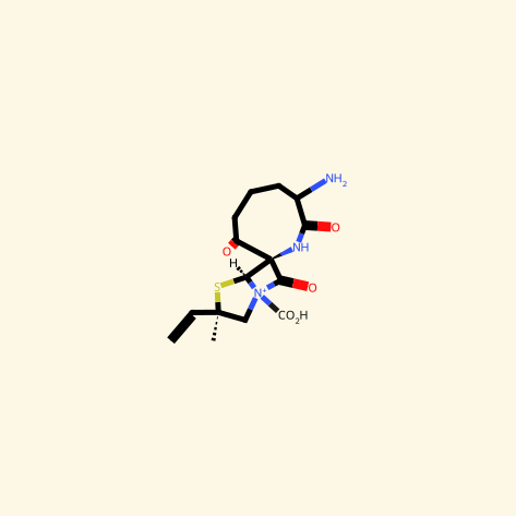 C=C[C@]1(C)C[N+]2(C(=O)O)C(=O)[C@]3(NC(=O)C(N)CCCC3=O)[C@@H]2S1